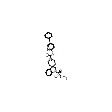 CS(=O)(=O)N1CC2(CCN(C(=O)Nc3ccc(-c4ccccc4)cn3)CC2)c2ccccc21